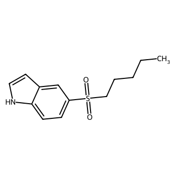 CCCCCS(=O)(=O)c1ccc2[nH]ccc2c1